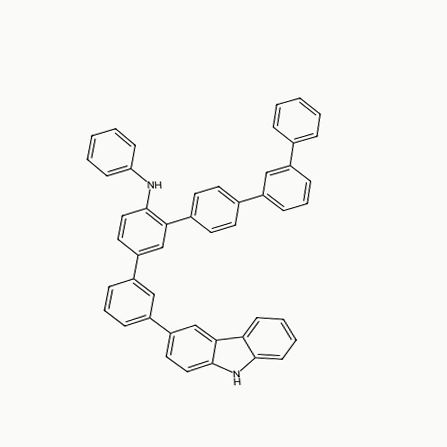 c1ccc(Nc2ccc(-c3cccc(-c4ccc5[nH]c6ccccc6c5c4)c3)cc2-c2ccc(-c3cccc(-c4ccccc4)c3)cc2)cc1